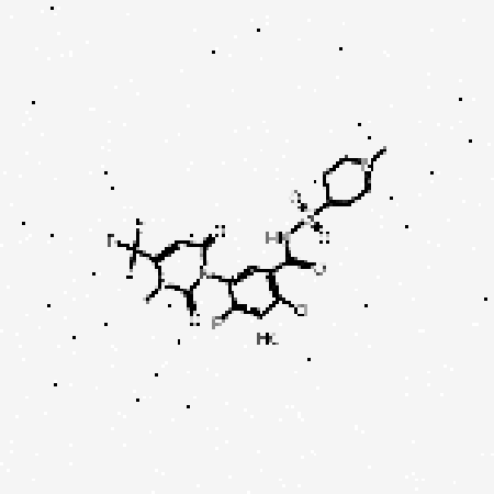 CN1CCC(S(=O)(=O)NC(=O)c2cc(-n3c(=O)cc(C(F)(F)F)n(C)c3=O)c(F)cc2Cl)CC1.Cl